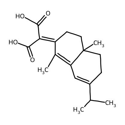 CC1=C2C=C(C(C)C)CCC2(C)CCC1=C(C(=O)O)C(=O)O